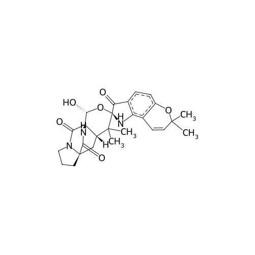 CC1(C)C=Cc2c(ccc3c2N[C@@]2(O[C@@H](O)[C@@]45NC(=O)[C@]6(CCCN6C4=O)C[C@H]5C2(C)C)C3=O)O1